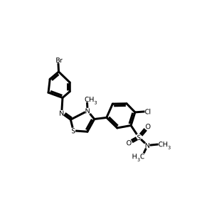 CN(C)S(=O)(=O)c1cc(-c2csc(=Nc3ccc(Br)cc3)n2C)ccc1Cl